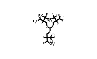 FC(C(F)(F)F)C(F)(COB(OCC(F)(C(F)C(F)(F)F)C(F)(C(F)(F)F)C(F)(F)F)OCC(F)(C(F)C(F)(F)F)C(F)(C(F)(F)F)C(F)(F)F)C(F)(C(F)(F)F)C(F)(F)F